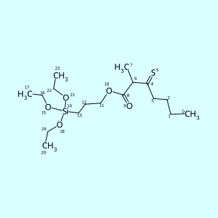 CCCCC(=S)C(C)C(=O)OCCC[Si](OCC)(OCC)OCC